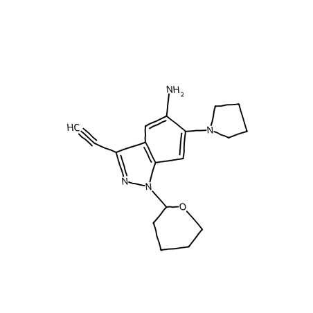 C#Cc1nn(C2CCCCO2)c2cc(N3CCCC3)c(N)cc12